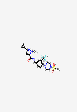 Cn1nc(C2CC2)cc1C(=O)NCc1ccc(N2CCN(S(C)(=O)=O)CC2)c(C(F)(F)F)c1